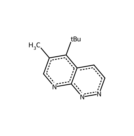 Cc1cnc2nnccc2c1C(C)(C)C